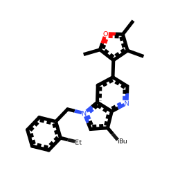 CCc1ccccc1Cn1cc(C(C)CC)c2ncc(-c3c(C)oc(C)c3C)cc21